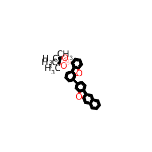 CC1(C)OB(c2cccc3oc4c(-c5ccc6c(c5)oc5cc7ccccc7cc56)cccc4c23)OC1(C)C